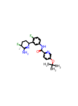 BC(B)(B)Oc1ccc(C(=O)Nc2ccc(F)c(C3CC[C@](C)(F)C(N)=N3)c2)nc1